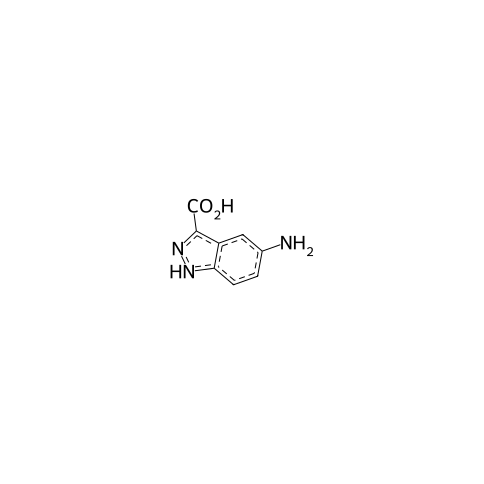 Nc1ccc2[nH]nc(C(=O)O)c2c1